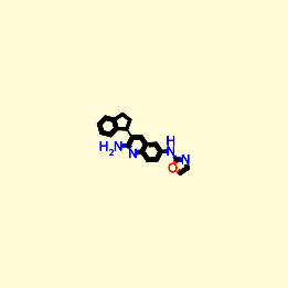 Nc1nc2ccc(Nc3ncco3)cc2cc1[C@@H]1CCc2ccccc21